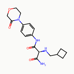 NC(=O)[C@H](NCC1CCC1)C(=O)Nc1ccc(N2CCOCC2=O)cc1